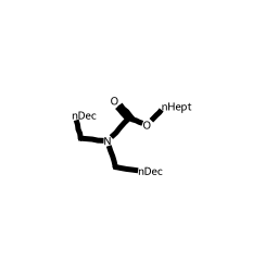 CCCCCCCCCCCN(CCCCCCCCCCC)C(=O)OCCCCCCC